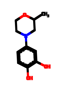 CC1CN(c2ccc(O)c(O)c2)CCO1